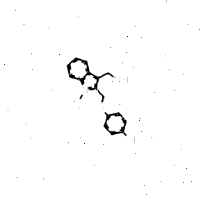 Cn1c(COc2ccc(Cl)cc2)c(CN)c2ccccc21